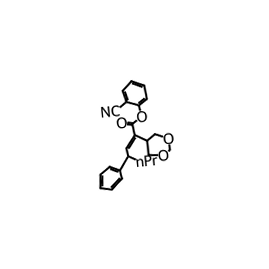 CCCC(C=C(C(=O)Oc1ccccc1C#N)C1COCOC1)c1ccccc1